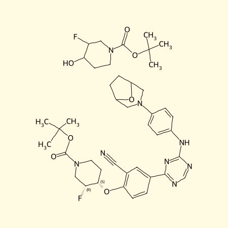 CC(C)(C)OC(=O)N1CCC(O)C(F)C1.CC(C)(C)OC(=O)N1CC[C@H](Oc2ccc(-c3ncnc(Nc4ccc(N5CC6CCC(C5)O6)cc4)n3)cc2C#N)[C@H](F)C1